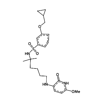 COc1ccc(NCCCCC(C)(C)NS(=O)(=O)c2cccc(OCC3CC3)c2)c(=O)[nH]1